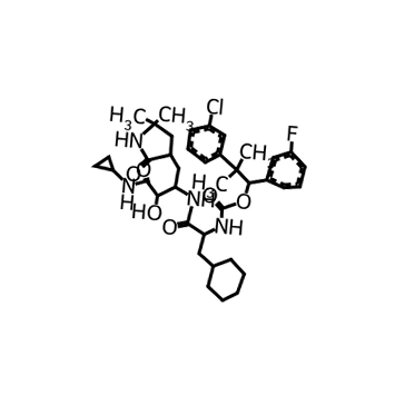 CC1(C)CC(CC(NC(=O)C(CC2CCCCC2)NC(=O)OC(c2cccc(F)c2)C(C)(C)c2cccc(Cl)c2)C(O)C(=O)NC2CC2)C(=O)N1